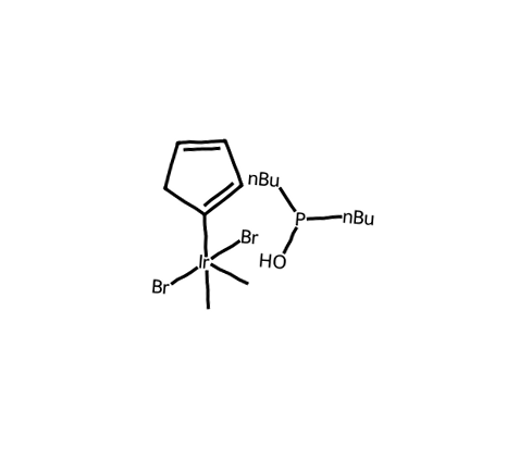 CCCCP(O)CCCC.[CH3][Ir]([CH3])([Br])([Br])[C]1=CC=CC1